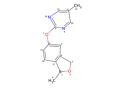 CB1OCc2cc(Oc3ncc(C)cn3)ccc21